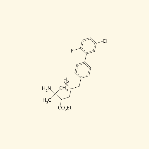 CCOC(=O)[C@@H](C[C@H](N)Cc1ccc(-c2cc(Cl)ccc2F)cc1)C(C)(C)N